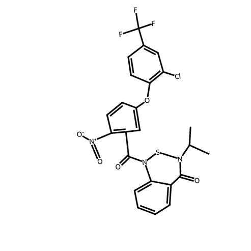 CC(C)N1SN(C(=O)c2cc(Oc3ccc(C(F)(F)F)cc3Cl)ccc2[N+](=O)[O-])c2ccccc2C1=O